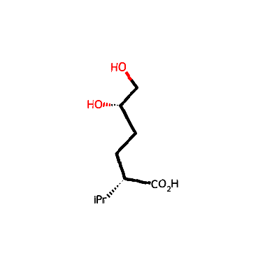 CC(C)[C@H](CC[C@H](O)CO)C(=O)O